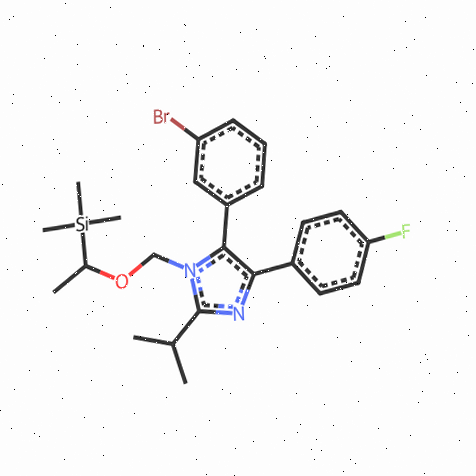 CC(C)c1nc(-c2ccc(F)cc2)c(-c2cccc(Br)c2)n1COC(C)[Si](C)(C)C